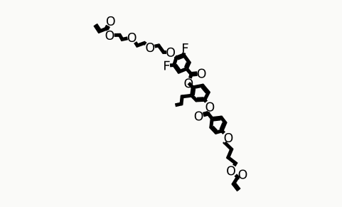 C=CC(=O)OCCCCOc1ccc(C(=O)Oc2ccc(OC(=O)c3cc(F)c(OCCOCCOCCOC(=O)C=C)c(F)c3)c(CCC)c2)cc1